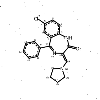 O=C1Nc2ccc(Cl)cc2C(c2ccccc2)=NC1=CN1CCCC1